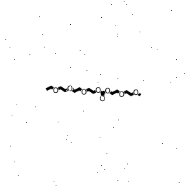 CCOCCOCCOCCOC(=O)OCCOCCOC